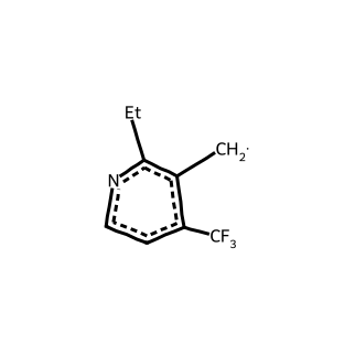 [CH2]c1c(C(F)(F)F)ccnc1CC